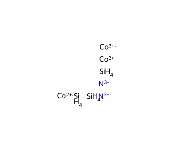 [Co+2].[Co+2].[Co+2].[N-3].[N-3].[SiH4].[SiH4].[SiH4]